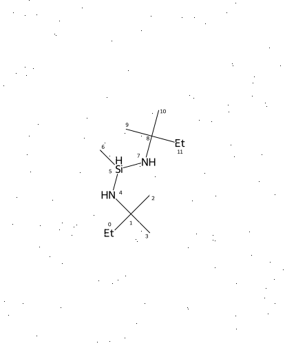 CCC(C)(C)N[SiH](C)NC(C)(C)CC